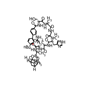 CCCCc1ccc(-c2ccc(C(=O)N[C@H](CO)C(=O)N[C@H](C)C(=O)NCC(=O)N(C)[C@@H](Cc3c[nH]cn3)C(=O)N[C@@H](C)C(=O)N[C@@H](CC(N)=O)C(=O)N[C@@H](C)B3OC4C[C@@H]5C[C@@H](C5(C)C)[C@]4(C)O3)cc2)cc1